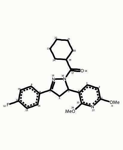 COc1ccc(C2CC(c3ccc(F)cc3)=NN2C(=O)C2CCCCC2)c(OC)n1